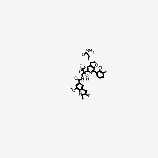 COc1cc(C(=O)NCC(O)(c2cc3c(c(-c4cccc(F)c4Cl)n2)OC[C@H]3CCC(N)=O)C(F)(F)F)cc2cc(Cl)c(C)nc12